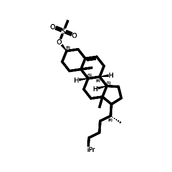 CC(C)CCC[C@@H](C)C1CC[C@H]2[C@H]3CC=C4C[C@H](OS(C)(=O)=O)CCC4(C)[C@H]3CCC12C